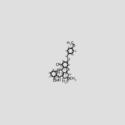 COc1ccc(COc2ccc(C3Nc4cccc(O)c4NC4=C3C(=O)CC(C)(C)C4)c(Cl)c2)cc1